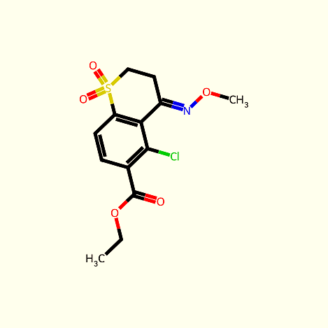 CCOC(=O)c1ccc2c(c1Cl)/C(=N/OC)CCS2(=O)=O